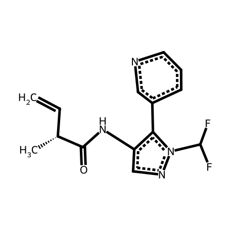 C=C[C@@H](C)C(=O)Nc1cnn(C(F)F)c1-c1cccnc1